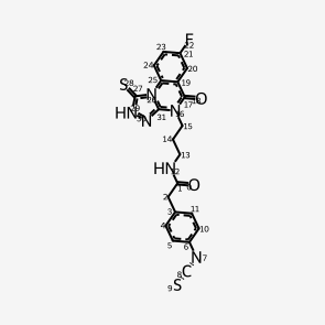 O=C(Cc1ccc(N=C=S)cc1)NCCCn1c(=O)c2cc(F)ccc2n2c(=S)[nH]nc12